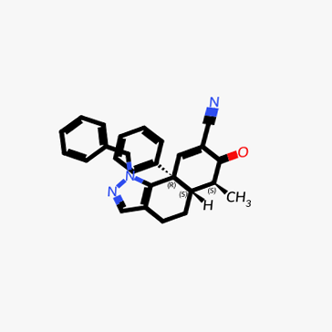 C[C@@H]1C(=O)C(C#N)=C[C@]2(c3ccccc3)c3c(cnn3Cc3ccccc3)CC[C@@H]12